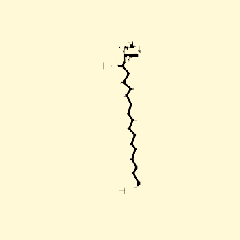 CCCCCCCCCCCCCCCCC(C)n1cnnn1